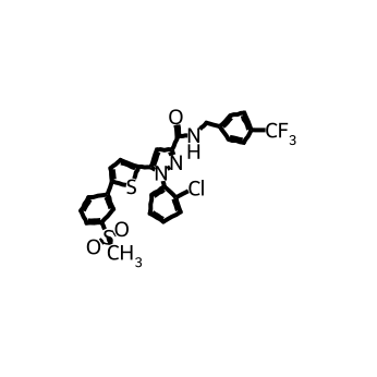 CS(=O)(=O)c1cccc(-c2ccc(-c3cc(C(=O)NCc4ccc(C(F)(F)F)cc4)nn3-c3ccccc3Cl)s2)c1